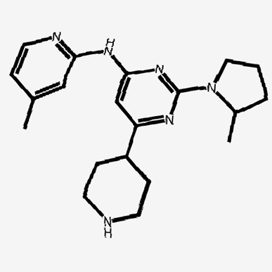 Cc1ccnc(Nc2cc(C3CCNCC3)nc(N3CCCC3C)n2)c1